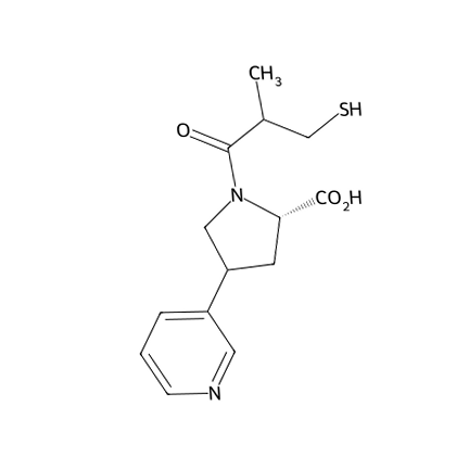 CC(CS)C(=O)N1CC(c2cccnc2)C[C@H]1C(=O)O